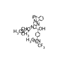 CC(C)c1ccccc1-c1ncc2c(n1)c(C(O)c1ccc(-c3nc(C(F)(F)F)cn3C)cc1)cn2COCC[Si](C)(C)C